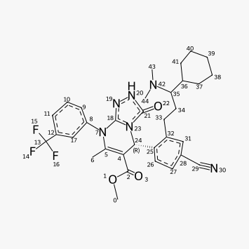 COC(=O)C1=C(C)N(c2cccc(C(F)(F)F)c2)c2n[nH]c(=O)n2[C@@H]1c1ccc(C#N)cc1CCC(C1CCCCC1)N(C)C